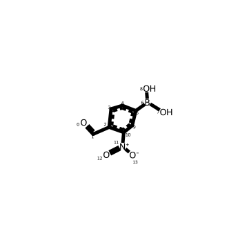 O=Cc1ccc(B(O)O)cc1[N+](=O)[O-]